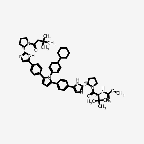 COC(=O)N[C@H](C(=O)N1CCC[C@H]1c1ncc(-c2ccc(-c3ccc(-c4ccc(-c5cnc([C@@H]6CCCN6C(=O)[CH]C(C)(C)C)[nH]5)cc4)n3-c3ccc(C4CCCCC4)cc3)cc2)[nH]1)C(C)(C)C